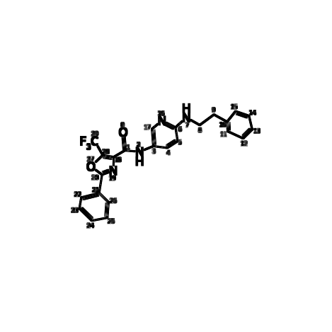 O=C(Nc1ccc(NCCc2ccccc2)nc1)c1nc(-c2ccccc2)oc1C(F)(F)F